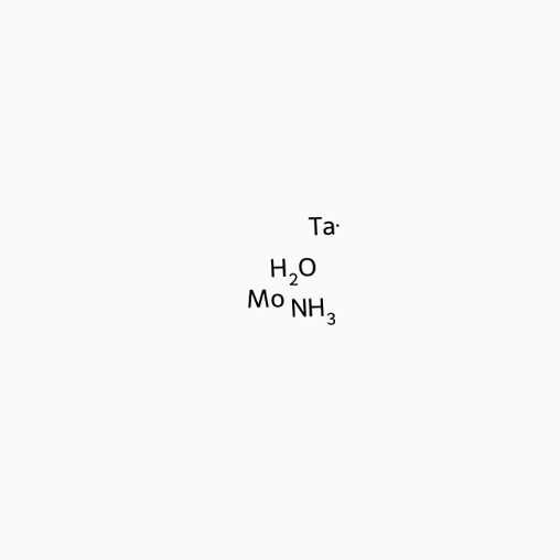 N.O.[Mo].[Ta]